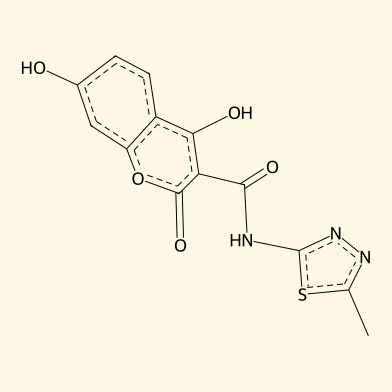 Cc1nnc(NC(=O)c2c(O)c3ccc(O)cc3oc2=O)s1